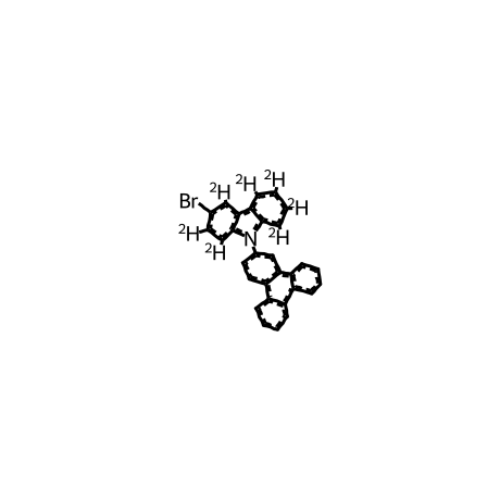 [2H]c1c([2H])c([2H])c2c(c1[2H])c1c([2H])c(Br)c([2H])c([2H])c1n2-c1ccc2c3ccccc3c3ccccc3c2c1